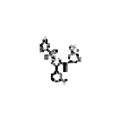 Cn1cnc(S(=O)(=O)N2CC(Nc3cncc(C(F)(F)F)c3)C(c3cccc(F)c3)C2)c1